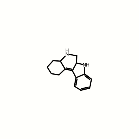 c1ccc2c(c1)NC1CNC3CCCCC3=C21